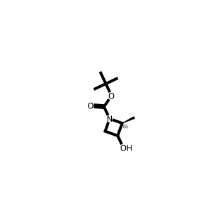 C[C@H]1C(O)CN1C(=O)OC(C)(C)C